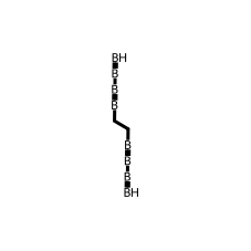 B=BB=BCCB=BB=B